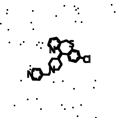 Clc1ccc2c(c1)SCc1cccnc1C2=C1CCN(Cc2ccncc2)CC1